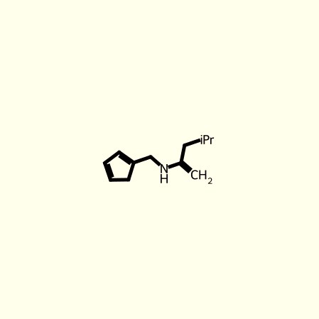 C=C(CC(C)C)NCC1=CC=CC1